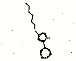 [CH2]CCCCCOc1cc(-c2ccccc2)[nH]n1